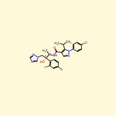 CC(C)c1c(C(=O)N[C@H](C)[C@](O)(Cn2cncn2)c2ccc(F)cc2F)cnn1-c1ccc(Cl)cc1